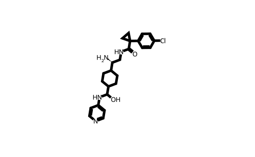 N[C@H](CNC(=O)C1(c2ccc(Cl)cc2)CC1)C1CCC(C(O)Nc2ccncc2)CC1